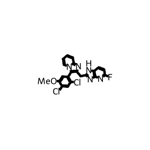 COc1cc(-c2c(Cc3nc4nc(F)ccc4[nH]3)nc3ccccn23)c(Cl)cc1Cl